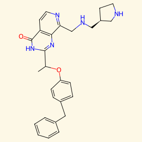 CC(Oc1ccc(Cc2ccccc2)cc1)c1nc2c(CNC[C@H]3CCNC3)nccc2c(=O)[nH]1